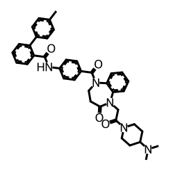 Cc1ccc(-c2ccccc2C(=O)Nc2ccc(C(=O)N3CCC(=O)N(CC(=O)N4CCC(N(C)C)CC4)c4ccccc43)cc2)cc1